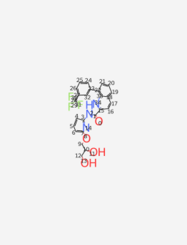 O=C(Nc1cccc(OC[C@@H](O)CO)n1)c1ccc2cccc(-c3cccc(C(F)(F)F)c3)c2n1